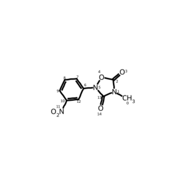 Cn1c(=O)on(-c2cccc([N+](=O)[O-])c2)c1=O